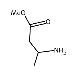 [CH2]C(N)CC(=O)OC